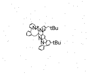 C=C1[n+]2ccccc2-c2ccccc2CCC2(C)c3nc4c(cc3-c3cc(CC(C)(C)C)cc[n+]3C12C)c1cc(C(C)(C)C)cc2c3ccccc3n4c21